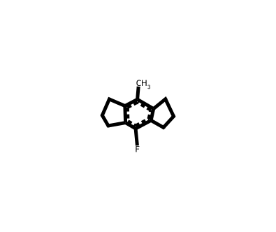 Cc1c2c(c(F)c3c1CCC3)CCC2